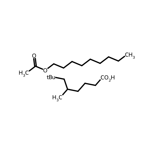 CC(CCCC(=O)O)CC(C)(C)C.CCCCCCCCCOC(C)=O